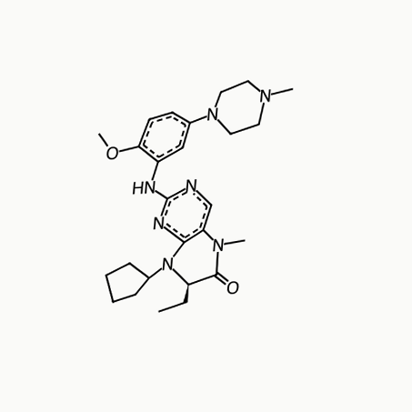 CC[C@@H]1C(=O)N(C)c2cnc(Nc3cc(N4CCN(C)CC4)ccc3OC)nc2N1C1CCCC1